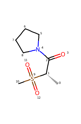 C[C@@H](C(=O)N1CCCC1)S(C)(=O)=O